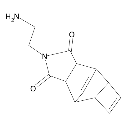 NCCN1C(=O)C2C3C=CC(C4C=CC43)C2C1=O